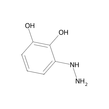 NNc1cccc(O)c1O